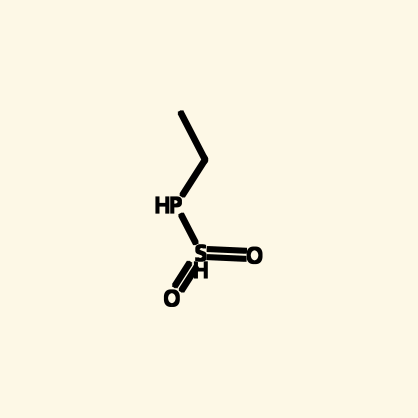 CCP[SH](=O)=O